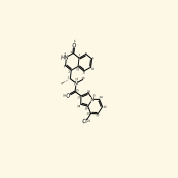 C[C@H](c1c[nH]c(=O)c2ccccc12)N(C)C(=O)c1cc2c(Cl)cccn2c1